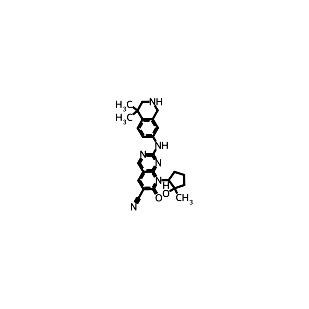 CC1(C)CNCc2cc(Nc3ncc4cc(C#N)c(=O)n(C5CCCC5(C)O)c4n3)ccc21